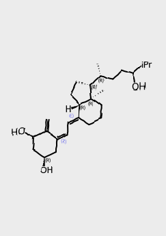 C=C1/C(=C\C=C2/CCC[C@]3(C)[C@@H]([C@H](C)CCC(O)C(C)C)CC[C@@H]23)C[C@@H](O)CC1O